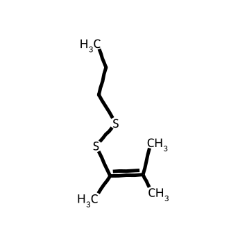 CCCSSC(C)=C(C)C